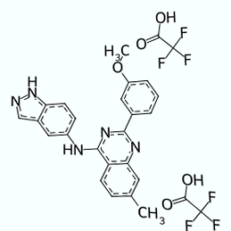 COc1cccc(-c2nc(Nc3ccc4[nH]ncc4c3)c3ccc(C)cc3n2)c1.O=C(O)C(F)(F)F.O=C(O)C(F)(F)F